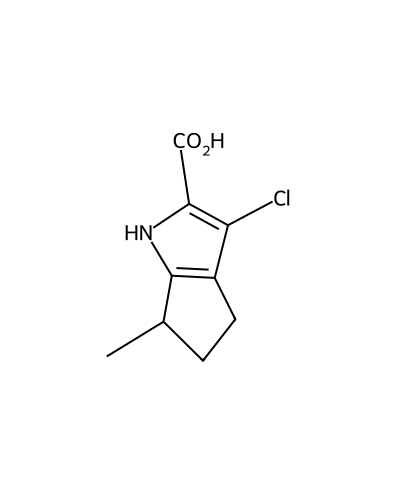 CC1CCc2c1[nH]c(C(=O)O)c2Cl